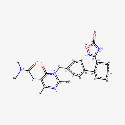 CCCCc1nc(C)c(CC(=S)N(C)C)c(=O)n1Cc1ccc(-c2ccccc2-c2noc(=O)[nH]2)cc1